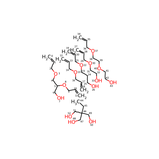 C=CCOCC(CO)OCC=C.C=CCOCC=C.C=CCOCCCO.C=CCOCCO.C=CCOCCOCCO.CCC(CO)(CO)CO